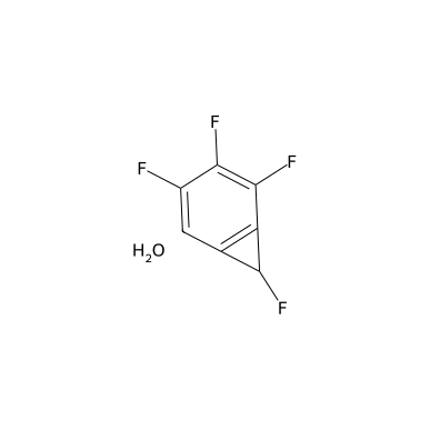 Fc1cc2c(c(F)c1F)C2F.O